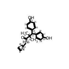 CC(C)(C(=O)Nc1nccs1)C(c1ccc(O)cc1)c1ccc(O)cc1